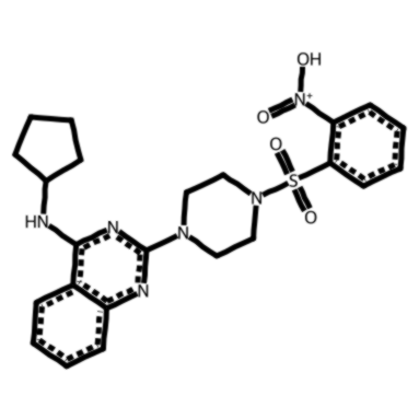 O=[N+](O)c1ccccc1S(=O)(=O)N1CCN(c2nc(NC3CCCC3)c3ccccc3n2)CC1